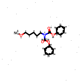 N#COCCCCCN(C(=O)Oc1ccccc1)C(=O)Oc1ccccc1